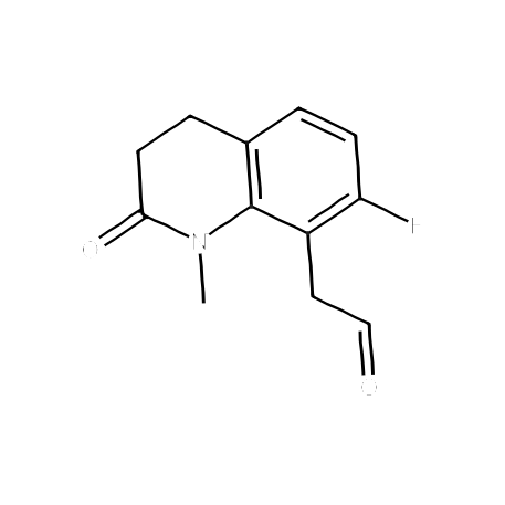 CN1C(=O)CCc2ccc(F)c(CC=O)c21